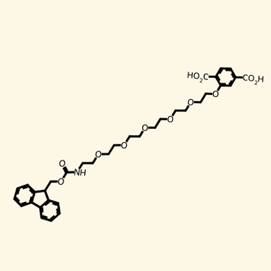 O=C(NCCOCCOCCOCCOCCOCCOc1cc(C(=O)O)ccc1C(=O)O)OCC1c2ccccc2-c2ccccc21